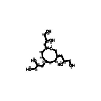 OCC(O)CN1CCN(CC(O)CO)CCN(CC(O)CO)CC1